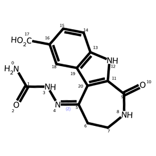 NC(=O)N/N=C1/CCNC(=O)c2[nH]c3ccc(C(=O)O)cc3c21